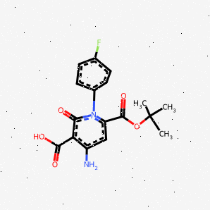 CC(C)(C)OC(=O)c1cc(N)c(C(=O)O)c(=O)n1-c1ccc(F)cc1